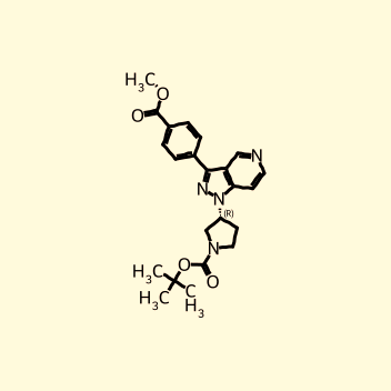 COC(=O)c1ccc(-c2nn([C@@H]3CCN(C(=O)OC(C)(C)C)C3)c3ccncc23)cc1